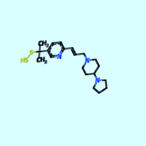 CC(C)(SS)c1ccc(/C=C/CN2CCC(N3CCCC3)CC2)nc1